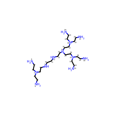 NCCN(CCN)CCNCCNCCN(CCN(CCN)CCN)CCN(CCN)CCN